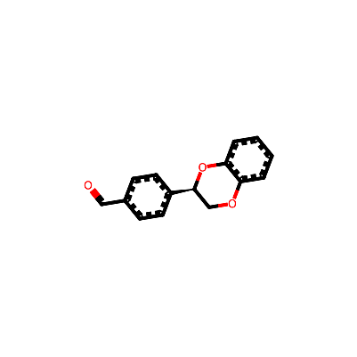 O=Cc1ccc([C@@H]2COc3ccccc3O2)cc1